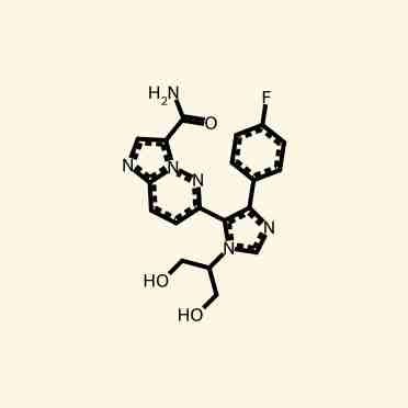 NC(=O)c1cnc2ccc(-c3c(-c4ccc(F)cc4)ncn3C(CO)CO)nn12